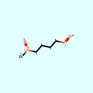 CC[PH](=O)CCCCP=O